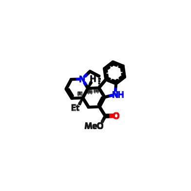 CC[C@]12C=CCN3CC[C@]4(C(=C(C(=O)OC)C1)Nc1ccccc14)[C@@H]32